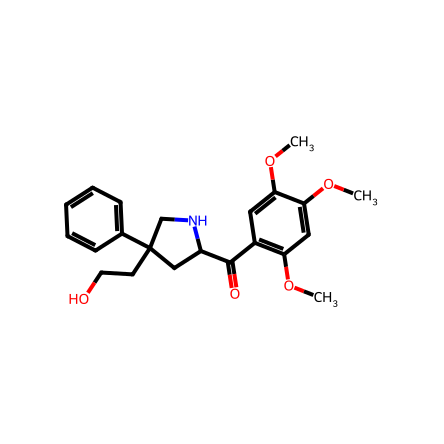 COc1cc(OC)c(C(=O)C2CC(CCO)(c3ccccc3)CN2)cc1OC